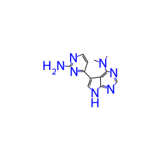 CN(C)c1ncnc2[nH]cc(-c3ccnc(N)n3)c12